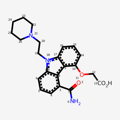 NC(=O)c1cccc2c1c1c(OCC(=O)O)cccc1n2CCN1CCCCC1